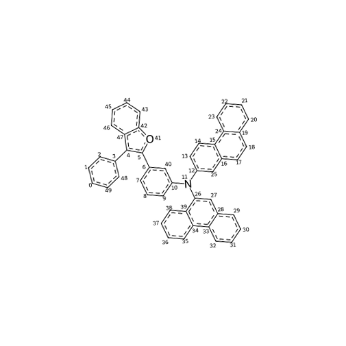 c1ccc(-c2c(-c3cccc(N(c4ccc5c(ccc6ccccc65)c4)c4cc5ccccc5c5ccccc45)c3)oc3ccccc23)cc1